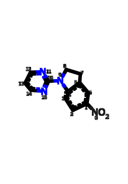 O=[N+]([O-])c1ccc2c(c1)CCN2c1ncccn1